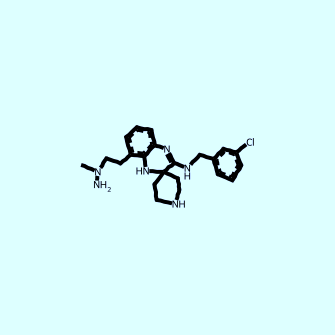 CN(N)CCc1cccc2c1NC1(CCNCC1)C(NCc1cccc(Cl)c1)=N2